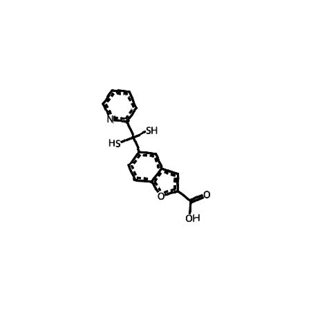 O=C(O)c1cc2cc(C(S)(S)c3ccccn3)ccc2o1